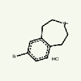 Brc1ccc2c(c1)CCNCC2.Cl